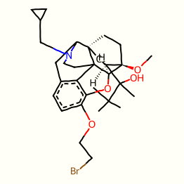 CO[C@]12CC[C@@]3(C[C@@H]1C(C)(O)C(C)(C)C)C1Cc4ccc(OCCBr)c5c4C3(CCN1CC1CC1)[C@@H]2O5